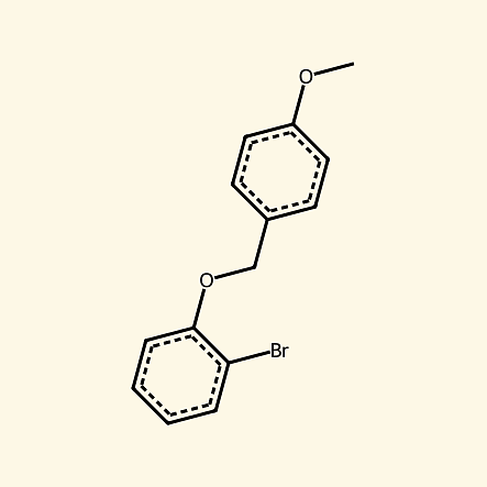 COc1ccc(COc2ccccc2Br)cc1